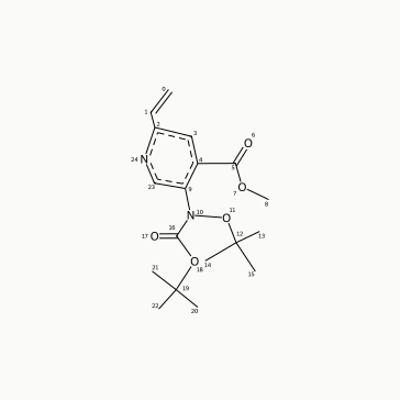 C=Cc1cc(C(=O)OC)c(N(OC(C)(C)C)C(=O)OC(C)(C)C)cn1